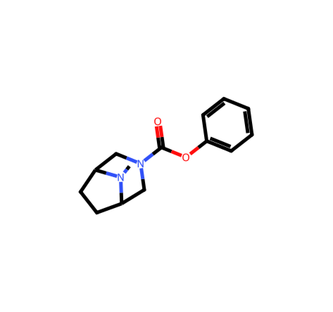 CN1C2CCC1CN(C(=O)Oc1ccccc1)C2